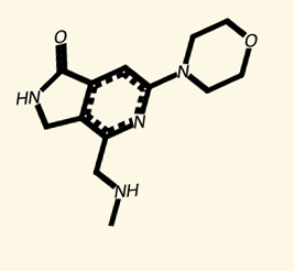 CNCc1nc(N2CCOCC2)cc2c1CNC2=O